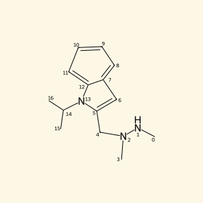 CNN(C)Cc1cc2ccccc2n1C(C)C